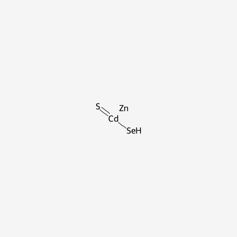 [S]=[Cd][SeH].[Zn]